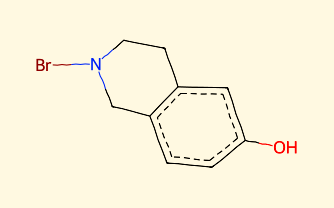 Oc1ccc2c(c1)CCN(Br)C2